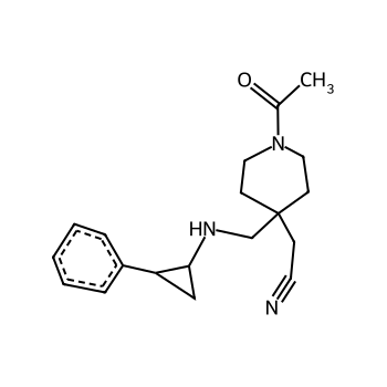 CC(=O)N1CCC(CC#N)(CNC2CC2c2ccccc2)CC1